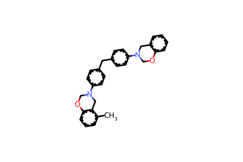 Cc1cccc2c1CN(c1ccc(Cc3ccc(N4COc5ccccc5C4)cc3)cc1)CO2